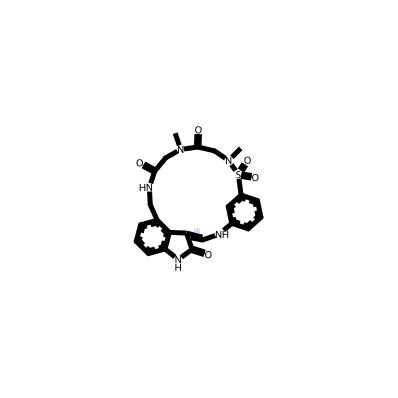 CN1CC(=O)NCc2cccc3c2/C(=C/Nc2cccc(c2)S(=O)(=O)N(C)CC1=O)C(=O)N3